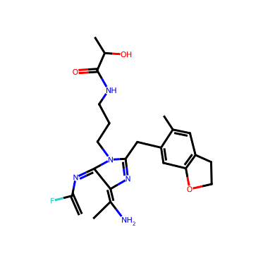 C=C(F)/N=C1\C(=C(/C)N)N=C(Cc2cc3c(cc2C)CCO3)N1CCCNC(=O)C(C)O